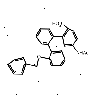 CC(=O)Nc1ccc(C(=O)O)c(-c2ccccc2-c2ccccc2OCc2ccccc2)c1